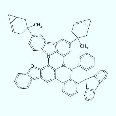 CC1(c2ccc3c(c2)c2cc(C4(C)CC=C5CC5C4)cc4c2n3-c2c3c(cc5c2oc2ccccc25)-c2cccc5c2N(B34)c2ccccc2C52c3ccccc3-c3ccccc32)CC=C2CC2C1